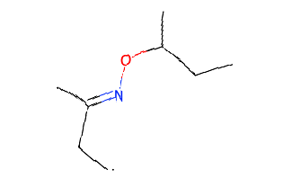 [CH2]CC(C)=NOC(C)CC